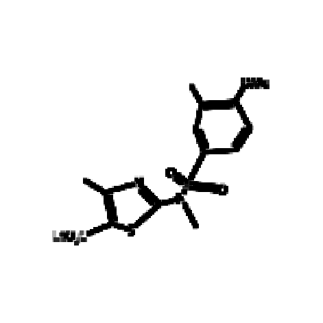 CCOC(=O)c1sc(N(C)S(=O)(=O)c2ccc(OC)c(C)c2)nc1C